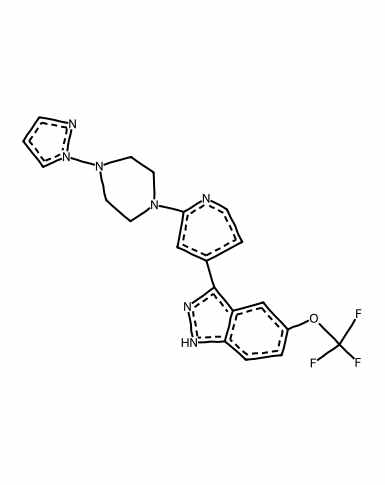 FC(F)(F)Oc1ccc2[nH]nc(-c3ccnc(N4CCN(n5cccn5)CC4)c3)c2c1